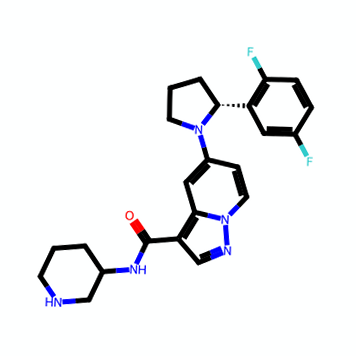 O=C(NC1CCCNC1)c1cnn2ccc(N3CCC[C@@H]3c3cc(F)ccc3F)cc12